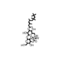 C/C(=C\C(C)CC(C)(C)CC(C)(C)C)CC(=O)OC1C(O)C(CO)OC(OC2OC(CO)C(O)C(OS(=O)(=O)O)C2O)C1O